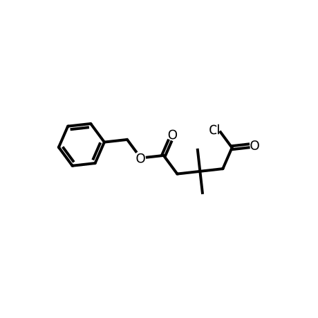 CC(C)(CC(=O)Cl)CC(=O)OCc1ccccc1